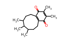 CC1=C(C)C(=O)C2=C(CCC(C)C(C)C(C)CC2)C1=O